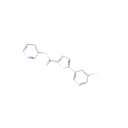 O=C(Nc1cccnc1)c1ccc(-c2cccc(O)c2)o1